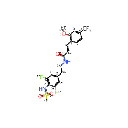 CCOc1cc(C(F)(F)F)ccc1C=CC(=O)NCCc1cc(F)c(NS(C)(=O)=O)c(F)c1